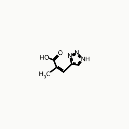 CC(=Cc1c[nH]nn1)C(=O)O